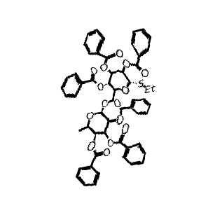 CCS[C@@H]1OC(CO[C@@H]2OC(C)[C@H](OC(=O)c3ccccc3)C(OC(=O)c3ccccc3)C2OC(=O)c2ccccc2)[C@H](OC(=O)c2ccccc2)C(OC(=O)c2ccccc2)C1OC(=O)c1ccccc1